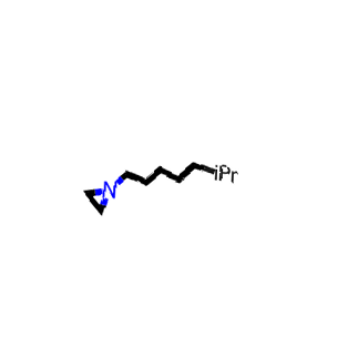 CC(C)CCCCCN1CC1